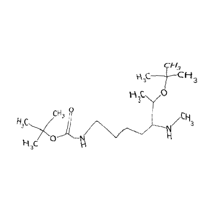 CNC(CCCCNC(=O)OC(C)(C)C)C(C)OC(C)(C)C